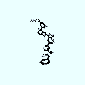 COc1cc(F)cc(-c2nccc3[nH]c(-c4n[nH]c5ncc(-c6cncc(NC(=O)Cc7ccccc7)c6)cc45)cc23)c1